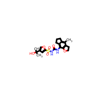 Cc1c2c(c(NC(=O)NS(=O)(=O)c3cc(C(C)(C)O)co3)c3c1CCO3)CCC2